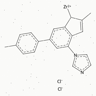 CC1=Cc2c(cc(-c3ccc(C)cc3)cc2-n2ccnc2)[CH]1[Zr+2].[Cl-].[Cl-]